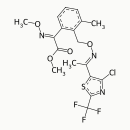 CO/N=C(/C(=O)OC)c1cccc(C)c1CO/N=C(\C)c1sc(C(F)(F)F)nc1Cl